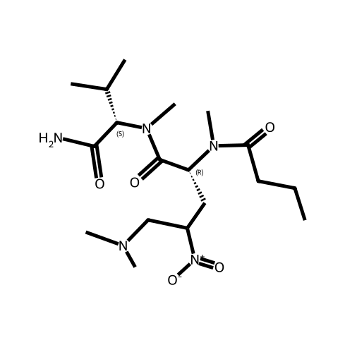 CCCC(=O)N(C)[C@H](CC(CN(C)C)[N+](=O)[O-])C(=O)N(C)[C@H](C(N)=O)C(C)C